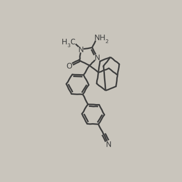 CN1C(=O)C(c2cccc(-c3ccc(C#N)cc3)c2)(C23CC4CC(CC(C4)C2)C3)N=C1N